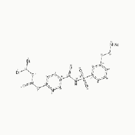 CCC(CC)OC(=O)Oc1ccc(C(=O)NS(=O)(=O)c2cccc(CCNC(C)=O)c2)cn1